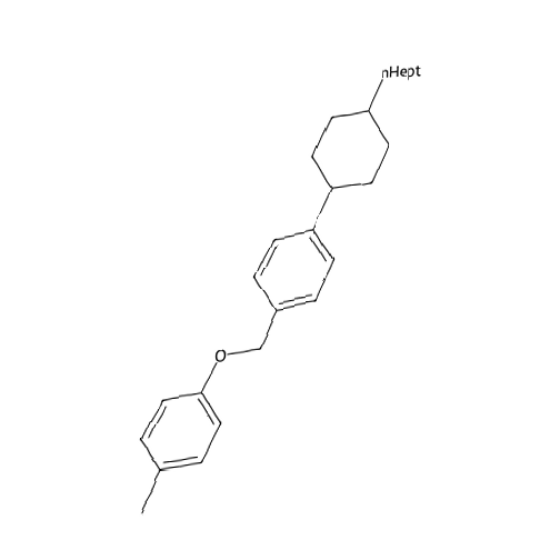 CCCCCCCC1CCC(c2ccc(COc3ccc(C)cc3)cc2)CC1